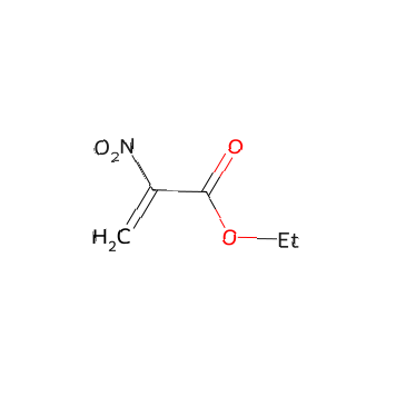 C=C(C(=O)OCC)[N+](=O)[O-]